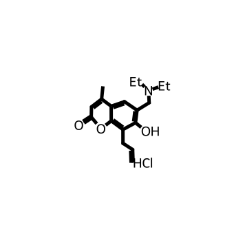 C=CCc1c(O)c(CN(CC)CC)cc2c(C)cc(=O)oc12.Cl